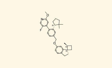 COc1cc(-c2ccc(COc3ccc4c(c3)[C@]3(CC4)CC[C@@H]3C)cc2[C@@H]2CCCC2(C)C)c(F)cn1